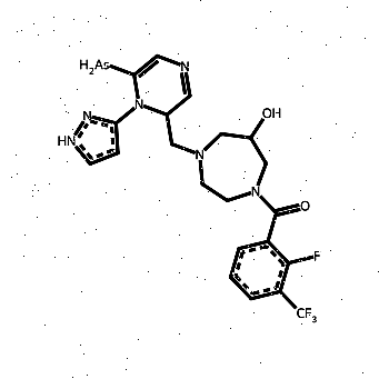 O=C(c1cccc(C(F)(F)F)c1F)N1CCN(CC2C=NC=C([AsH2])N2c2cc[nH]n2)CC(O)C1